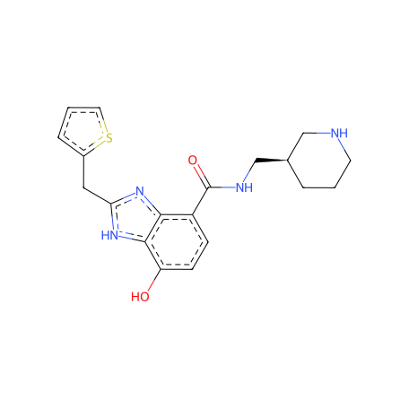 O=C(NC[C@@H]1CCCNC1)c1ccc(O)c2[nH]c(Cc3cccs3)nc12